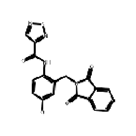 O=C(Nc1ccc(Cl)cc1CN1C(=O)c2ccccc2C1=O)c1cnsn1